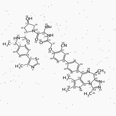 Cc1ncsc1-c1ccc([C@H](C)NC(=O)[C@@H]2C[C@@H](O)CN2C(=O)C(NC(=O)COc2ccc(-c3ccc(C4=N[C@@H](C)c5nnc(C)n5-c5sc(C)c(C)c54)cc3)cc2C#N)C(C)(C)C)cc1